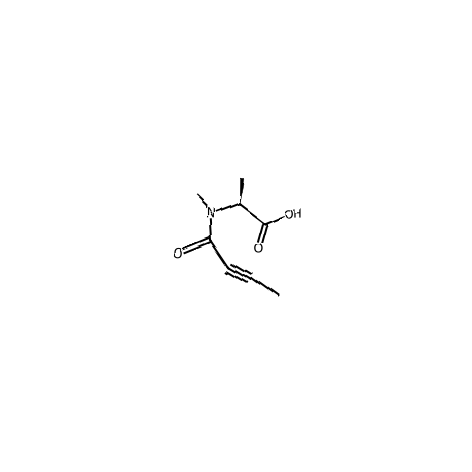 CC#CC(=O)N(C)[C@@H](C)C(=O)O